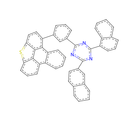 c1cc(-c2nc(-c3ccc4ccccc4c3)nc(-c3cccc4ccccc34)n2)cc(-c2ccc3sc4cccc5c6ccccc6c2c3c45)c1